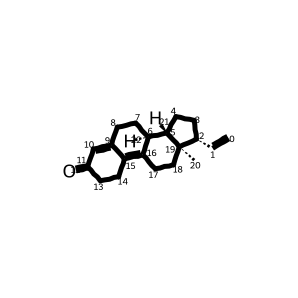 C=C[C@H]1CC[C@H]2[C@@H]3CCC4=CC(=O)CCC4=C3CC[C@]12C